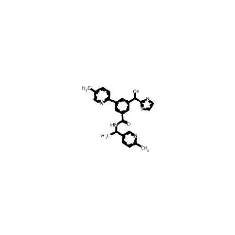 Cc1ccc(-c2cc(C(=O)NC(C)c3ccc(C)nc3)cc(C(O)c3nccs3)c2)nc1